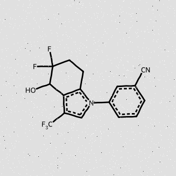 N#Cc1cccc(-n2cc(C(F)(F)F)c3c2CCC(F)(F)C3O)c1